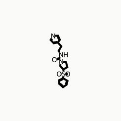 O=C(NCCc1ccncc1)N1CCC(S(=O)(=O)c2ccccc2)C1